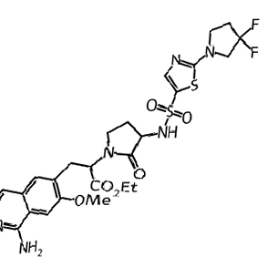 CCOC(=O)C(Cc1cc2ccnc(N)c2cc1OC)N1CCC(NS(=O)(=O)c2cnc(N3CCC(F)(F)C3)s2)C1=O